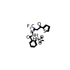 CS(=O)(=O)Nc1ccccc1C(=O)N/N=C(\CC(=O)c1cccs1)C(F)(F)F